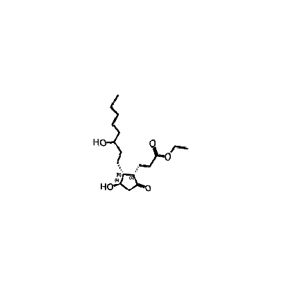 CCCCCC(O)CC[C@H]1[C@H](O)CC(=O)[C@H]1CCC(=O)OCC